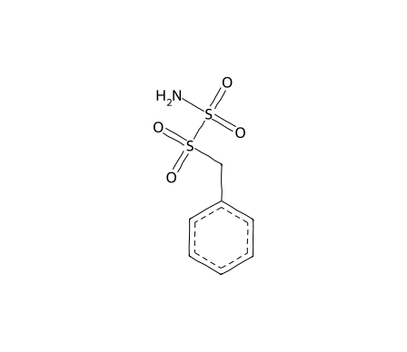 NS(=O)(=O)S(=O)(=O)Cc1ccccc1